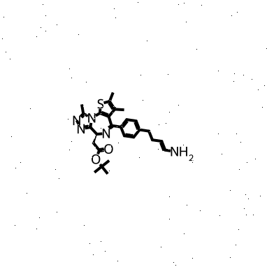 Cc1sc2c(c1C)C(c1ccc(CCC=CN)cc1)=N[C@@H](CC(=O)OC(C)(C)C)c1nnc(C)n1-2